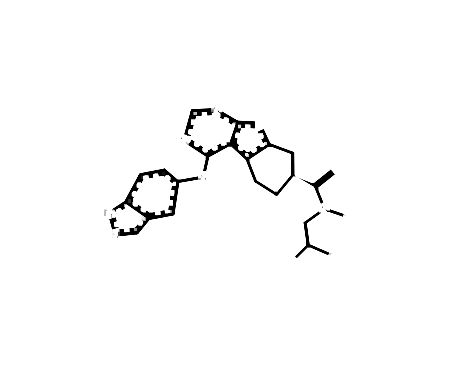 CC(C)CN(C)C(=O)[C@H]1CCc2c(sc3ncnc(Nc4ccc5[nH]ncc5c4)c23)C1